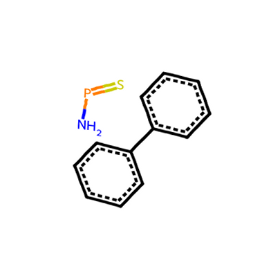 NP=S.c1ccc(-c2ccccc2)cc1